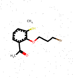 C.CC(=O)c1cccc(S)c1OCCCBr